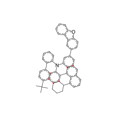 CC(C)(C)c1ccc(-c2ccccc2N(c2cccc(-c3ccc4oc5ccccc5c4c3)c2)c2ccccc2-c2cccc3cccc(C4CCCCC4)c23)cc1